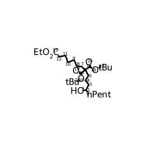 CCCCCC(O)CCCC(CCCCCCC(=O)OCC)(C(=O)OC(C)(C)C)C(=O)OC(C)(C)C